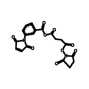 O=C(CCC(=O)ON1C(=O)CCC1=O)OC(=O)c1cccc(N2C(=O)C=CC2=O)c1